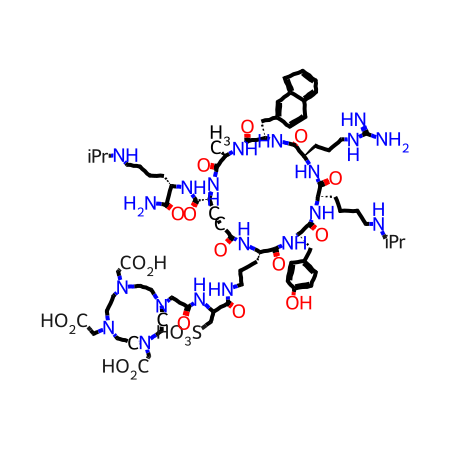 CC(C)NCCCC[C@H](NC(=O)[C@H]1CCC(=O)N[C@@H](CCCNC(=O)C(CS(=O)(=O)O)NC(=O)CN2CCN(CC(=O)O)CCN(CC(=O)O)CCN(CC(=O)O)CC2)C(=O)N[C@@H](Cc2ccc(O)cc2)C(=O)N[C@@H](CCCCNC(C)C)C(=O)N[C@H](CCCNC(=N)N)C(=O)N[C@@H](Cc2ccc3ccccc3c2)C(=O)N[C@H](C)C(=O)N1)C(N)=O